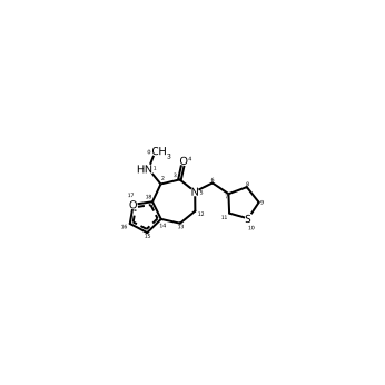 CNC1C(=O)N(CC2CCSC2)CCc2ccoc21